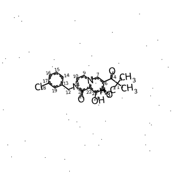 CC(C)(C)C(=O)c1cn2ccn(Cc3cccc(Cl)c3)c(=O)c2c(O)c1=O